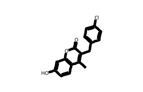 Cc1c(Cc2ccc(Cl)cc2)c(=O)oc2cc(O)ccc12